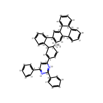 CC1C=CC(c2cc(-c3ccccc3)nc(-c3ccccc3)n2)=CC1c1ccccc1-c1ccc2c3ccccc3c3ccccc3c2c1